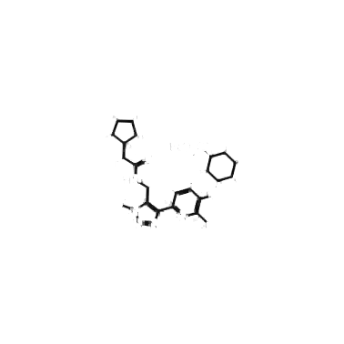 CCOC(=O)[C@H]1CCC[C@H](Oc2ccc(-c3nnn(C)c3CNC(=O)CC3CCCC3)nc2C)C1